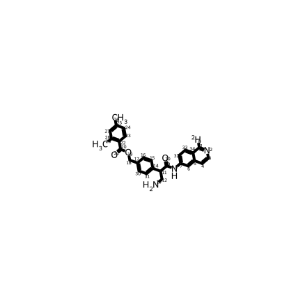 [2H]c1nccc2cc(NC(=O)C(CN)c3ccc(COC(=O)c4ccc(C)cc4C)cc3)ccc12